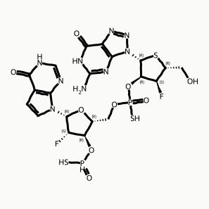 Nc1nc2c(nnn2[C@@H]2S[C@H](CO)[C@@H](F)[C@H]2OP(=O)(S)OC[C@H]2O[C@@H](n3ccc4c(=O)[nH]cnc43)[C@@H](F)[C@@H]2O[PH](=O)S)c(=O)[nH]1